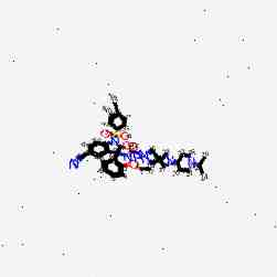 CCOc1ccccc1C1(NC(=O)N2CC3(C2)CN(C2CCN(C(C)C)CC2)C3)C(=O)N(S(=O)(=O)c2ccc(C)cc2)c2ccc(C#N)cc21